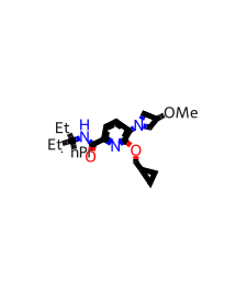 [CH2]CC([CH]CC)(CC)NC(=O)c1ccc(N2CC(OC)C2)c(OCC2CC2)n1